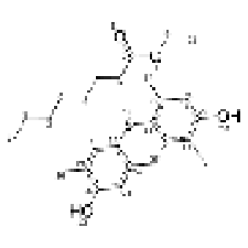 CCCCCCCC(=O)OCC.Cc1cc(Sc2cc(C)c(O)cc2C)c(C)cc1O